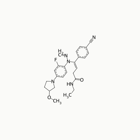 C=NN(/C(=C\CC(=O)NCC)c1ccc(C#N)cc1)c1ccc(N2CCC(OC)C2)cc1F